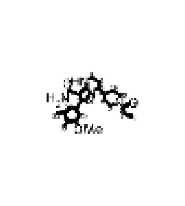 C=CC(=O)N1CCC(C2CCNc3c(C(N)=O)c(-c4cc(C)c(C)c(OC)c4)nn32)CC1